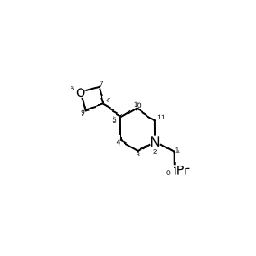 CC(C)CN1CCC(C2COC2)CC1